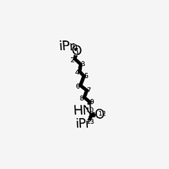 CC(C)OCCCCCCCCNC(=O)C(C)C